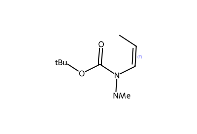 C/C=C\N(NC)C(=O)OC(C)(C)C